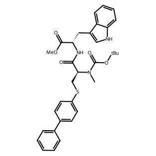 COC(=O)[C@H](Cc1c[nH]c2ccccc12)NC(=O)[C@H](CSc1ccc(-c2ccccc2)cc1)N(C)C(=O)OC(C)(C)C